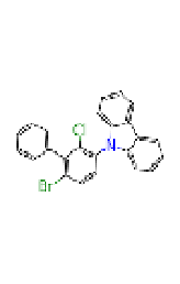 Clc1c(-n2c3ccccc3c3ccccc32)ccc(Br)c1-c1ccccc1